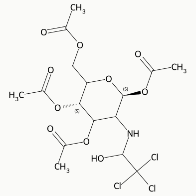 CC(=O)OCC1O[C@@H](OC(C)=O)C(NC(O)C(Cl)(Cl)Cl)C(OC(C)=O)[C@@H]1OC(C)=O